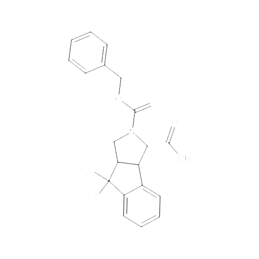 CC1(C)c2ccccc2C2C1CN(C(=O)OCc1ccccc1)[C@@H]2C(=O)O